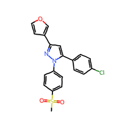 CS(=O)(=O)c1ccc(-n2nc(-c3ccoc3)cc2-c2ccc(Cl)cc2)cc1